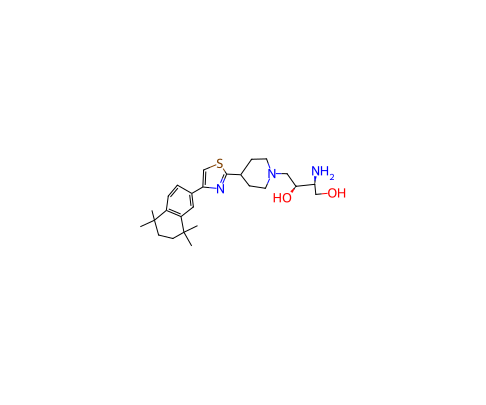 CC1(C)CCC(C)(C)c2cc(-c3csc(C4CCN(C[C@H](O)[C@@H](N)CO)CC4)n3)ccc21